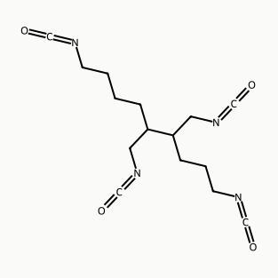 O=C=NCCCCC(CN=C=O)C(CCCN=C=O)CN=C=O